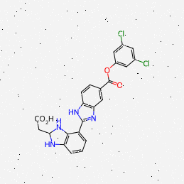 O=C(O)CC1Nc2cccc(-c3nc4cc(C(=O)Oc5cc(Cl)cc(Cl)c5)ccc4[nH]3)c2N1